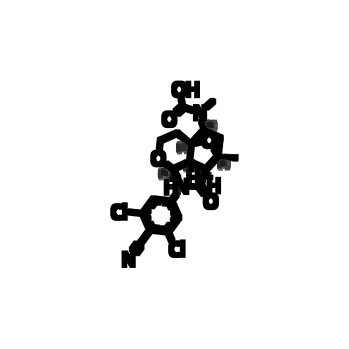 CN(C(=O)O)[C@H]1C[C@@]2(C)O[C@@]13CCO[C@H]1[C@@H]3[C@@H]2C(=O)N1c1cc(Cl)c(C#N)c(Cl)c1